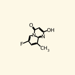 Cc1cc(F)cn2c(=O)cc(O)nc12